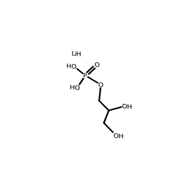 O=P(O)(O)OCC(O)CO.[LiH]